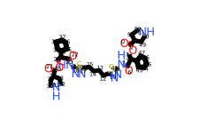 O=C(OCC(C(=O)Nc1nnc(CCCCc2nnc(NC(=O)C(COC(=O)C3CCNCC3)c3ccccc3)s2)s1)c1ccccc1)C1CCNCC1